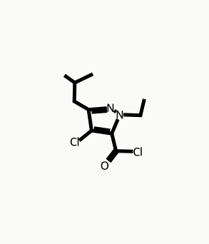 CCn1nc(CC(C)C)c(Cl)c1C(=O)Cl